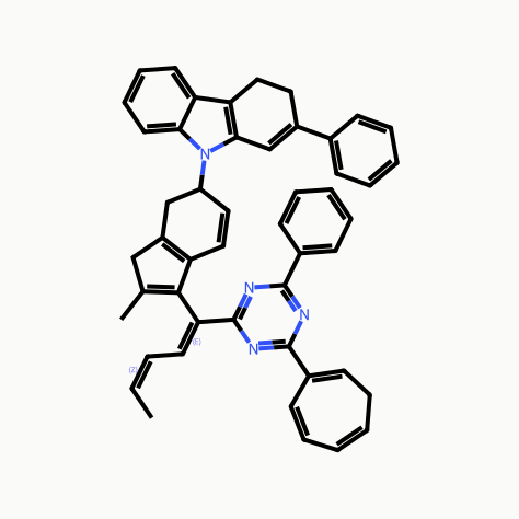 C/C=C\C=C(/C1=C(C)CC2=C1C=CC(n1c3c(c4ccccc41)CCC(c1ccccc1)=C3)C2)c1nc(C2=CCC=CC=C2)nc(-c2ccccc2)n1